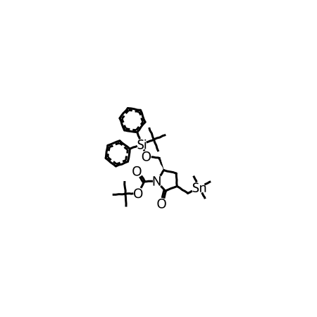 CC(C)(C)OC(=O)N1C(=O)C([CH2][Sn]([CH3])([CH3])[CH3])C[C@@H]1CO[Si](c1ccccc1)(c1ccccc1)C(C)(C)C